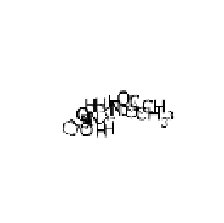 CC(C)(C)OC(=O)N1C[C@@H]2[C@H](C1)[C@H]1CC[C@@H]2N1S(=O)(=O)c1ccccc1